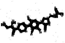 CCC(=O)NC[C@H]1CN(c2cc(F)c(C3=CCN(C(=O)[C@@H](O)CO)CC3)c(F)c2F)C(=O)O1